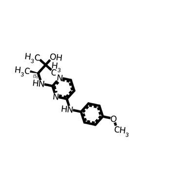 COc1ccc(Nc2ccnc(N[C@@H](C)C(C)(C)O)n2)cc1